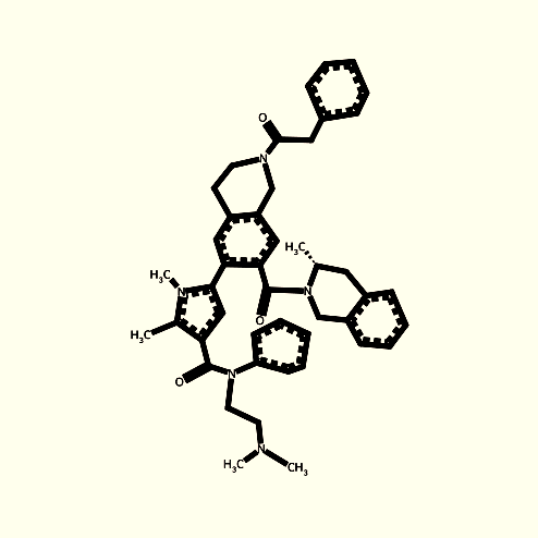 Cc1c(C(=O)N(CCN(C)C)c2ccccc2)cc(-c2cc3c(cc2C(=O)N2Cc4ccccc4C[C@H]2C)CN(C(=O)Cc2ccccc2)CC3)n1C